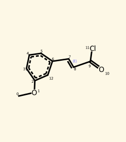 COc1[c]ccc(/C=C/C(=O)Cl)c1